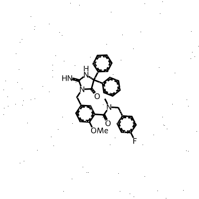 COc1ccc(CN2C(=N)NC(c3ccccc3)(c3ccccc3)C2=O)cc1C(=O)N(C)Cc1ccc(F)cc1